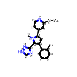 CC(=O)Nc1cc(-c2cc(-c3ccccc3C)c(-c3nc[nH]n3)n2C)ccn1